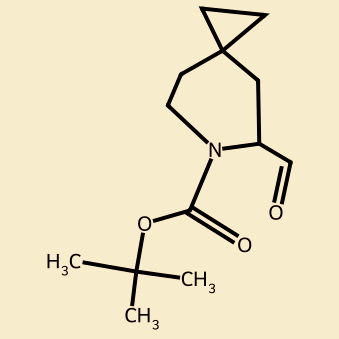 CC(C)(C)OC(=O)N1CCC2(CC2)CC1C=O